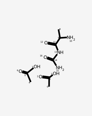 CC(=O)O.CC(=O)O.CC(N)C(=O)NC(N)=O